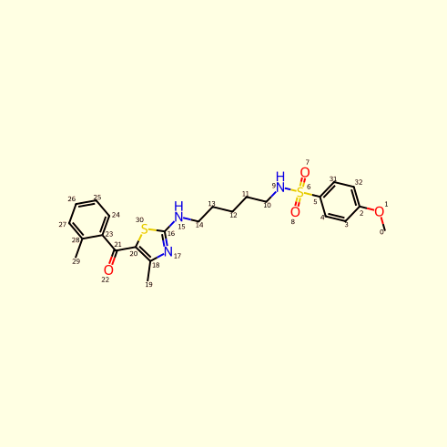 COc1ccc(S(=O)(=O)NCCCCCNc2nc(C)c(C(=O)c3ccccc3C)s2)cc1